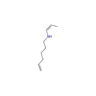 C=CCCCCN/C=C\C